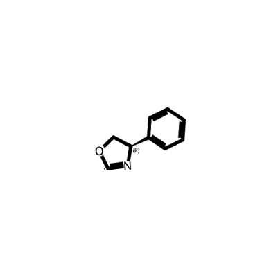 [C]1=N[C@H](c2ccccc2)CO1